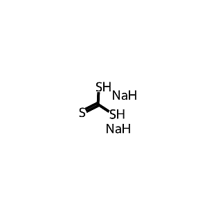 S=C(S)S.[NaH].[NaH]